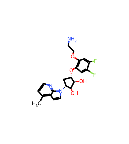 Cc1ccnc2c1ccn2[C@@H]1C[C@H](Oc2cc(F)c(F)cc2OCCN)[C@@H](O)[C@H]1O